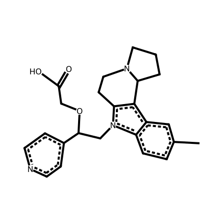 Cc1ccc2c(c1)c1c(n2CC(OCC(=O)O)c2ccncc2)CCN2CCCC12